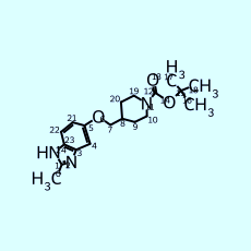 Cc1nc2cc(OCC3CCN(C(=O)OC(C)(C)C)CC3)ccc2[nH]1